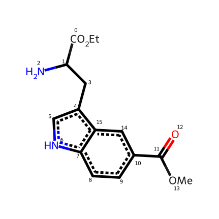 CCOC(=O)C(N)Cc1c[nH]c2ccc(C(=O)OC)cc12